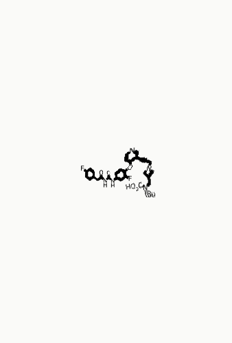 CC(C)(C)N(CC1CN(CC#Cc2cnccc2Oc2ccc(NC(=O)NC(=O)Cc3ccc(F)cc3)cc2F)C1)C(=O)O